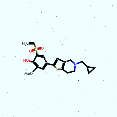 C=CS(=O)(=O)c1cc(-c2cc3c(s2)CCN(CC2CC2)C3)cc(OC)c1O